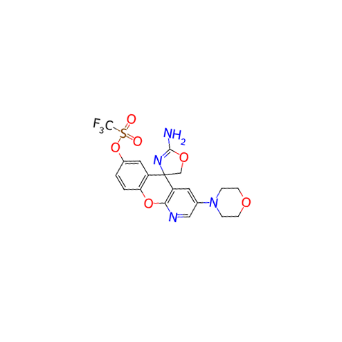 NC1=NC2(CO1)c1cc(OS(=O)(=O)C(F)(F)F)ccc1Oc1ncc(N3CCOCC3)cc12